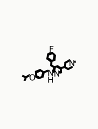 CC(C)COc1ccc(CNc2ncc(C3CCN(C)CC3)cc2Cc2ccc(F)cc2)cc1